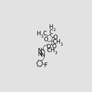 C=C1C(=O)[C@](C)(C(=O)OC)[C@H](CCc2cn(Cc3ccccc3F)nn2)O[C@@H]1C